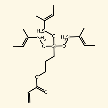 C=CC(=O)OCCC[Si](O[SiH2]C(C)=CC)(O[SiH2]C(C)=CC)O[SiH2]C(C)=CC